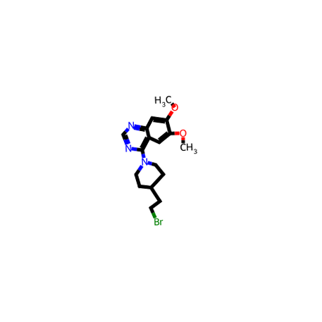 COc1cc2ncnc(N3CCC(CCBr)CC3)c2cc1OC